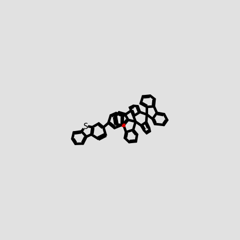 c1ccc2c(c#1)-c1ccccc1C21c2ccccc2C2(c3ccccc3-c3ccccc32)c2cccc(-c3ccc(-c4c#cc5c(c4)sc4ccccc45)cc3)c21